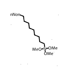 CCCCCCCCCCCCCCCCCC[Si](OC)(OC)OC